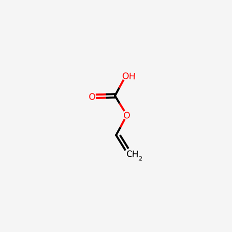 C=COC(=O)O